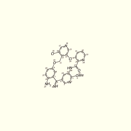 COc1ncc(C(=N)c2cc(OCc3c(Cl)cncc3Cl)ccc2N)cc1NC(=O)c1ccccn1